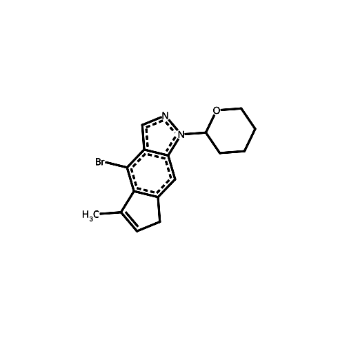 CC1=CCc2cc3c(cnn3C3CCCCO3)c(Br)c21